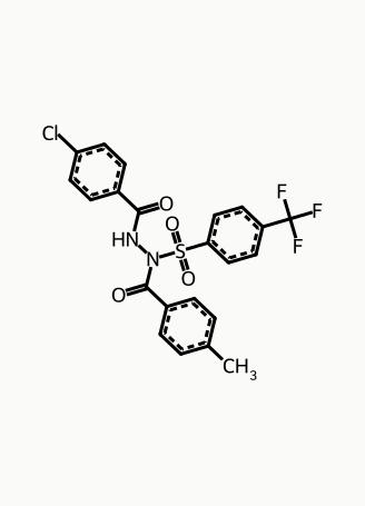 Cc1ccc(C(=O)N(NC(=O)c2ccc(Cl)cc2)S(=O)(=O)c2ccc(C(F)(F)F)cc2)cc1